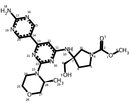 COC(=O)N1CC[C@](CO)(Nc2cc(-c3cnc(N)nc3)nc(N3CCOC[C@@H]3C)n2)C1